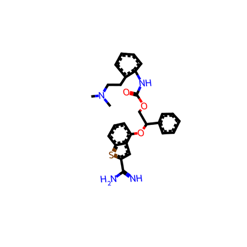 CN(C)CCc1ccccc1NC(=O)OCC(Oc1cccc2sc(C(=N)N)cc12)c1ccccc1